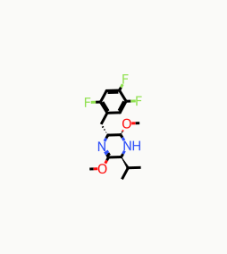 COC1=N[C@H](Cc2cc(F)c(F)cc2F)[C@H](OC)N[C@H]1C(C)C